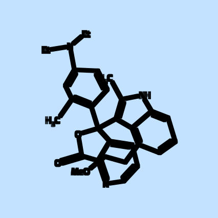 CCN(CC)c1ccc(C2(c3c(C)[nH]c4cccc(CCOC)c34)OC(=O)c3ncccc32)c(C)c1